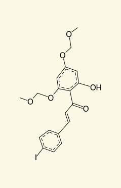 COCOc1cc(O)c(C(=O)/C=C/c2ccc(I)cc2)c(OCOC)c1